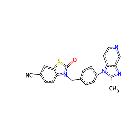 Cc1nc2cnccc2n1-c1ccc(Cn2c(=O)sc3cc(C#N)ccc32)cc1